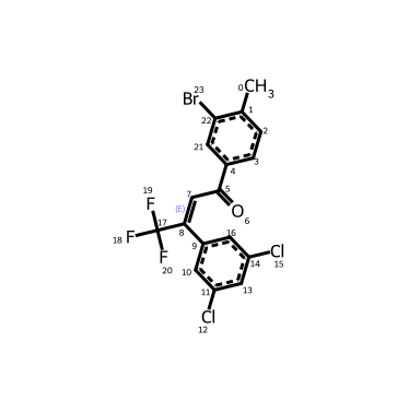 Cc1ccc(C(=O)/C=C(\c2cc(Cl)cc(Cl)c2)C(F)(F)F)cc1Br